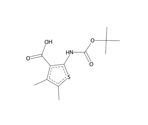 Cc1sc(NC(=O)OC(C)(C)C)c(C(=O)O)c1C